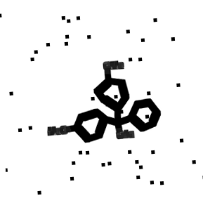 COc1ccc(C(OC(C)=O)(c2ccccc2)c2ccc(OC)cc2)cc1